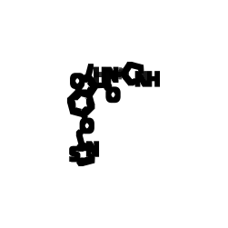 Cc1oc2ccc(OCc3nccs3)cc2c1C(=O)N[C@H]1CCNC1